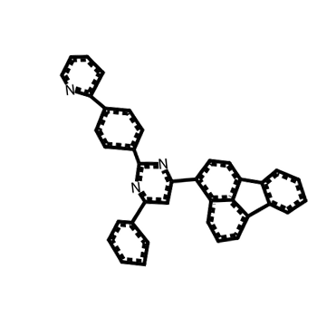 c1ccc(-c2cc(-c3ccc4c5c(cccc35)-c3ccccc3-4)nc(-c3ccc(-c4ccccn4)cc3)n2)cc1